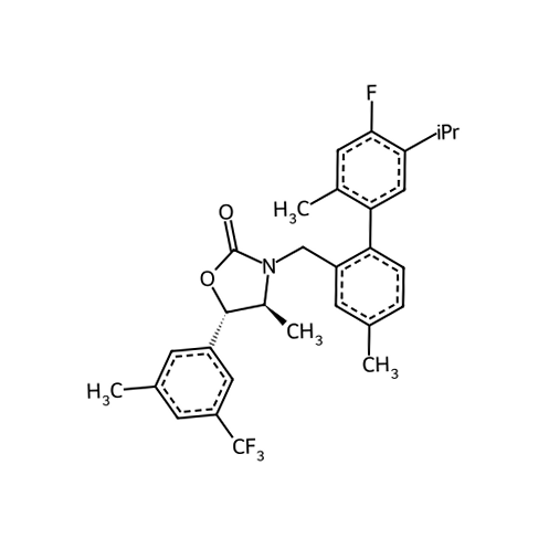 Cc1cc([C@@H]2OC(=O)N(Cc3cc(C)ccc3-c3cc(C(C)C)c(F)cc3C)[C@H]2C)cc(C(F)(F)F)c1